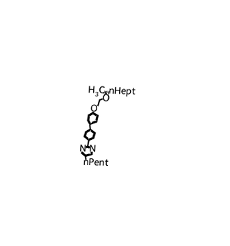 CCCCCCC[C@@H](C)OCCOc1ccc(-c2ccc(-c3ncc(CCCCC)cn3)cc2)cc1